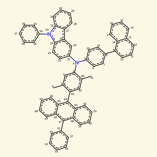 Cc1cc(N(c2ccc(-c3cccc4ccccc34)cc2)c2ccc3c(c2)c2ccccc2n3-c2ccccc2)c(C)cc1-c1c2ccccc2c(-c2ccccc2)c2ccccc12